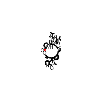 CCn1c(-c2cccnc2[C@H](C)OC)c2c3cc(ccc31)-c1csc(n1)C[C@H](NC(=O)[C@H](C(C)C)N(C)C(=O)N(C)C(C)C)C(=O)N1CCC[C@](C=O)(COCC(C)(C)C2)N1